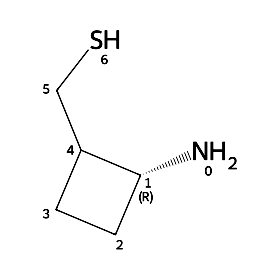 N[C@@H]1CCC1CS